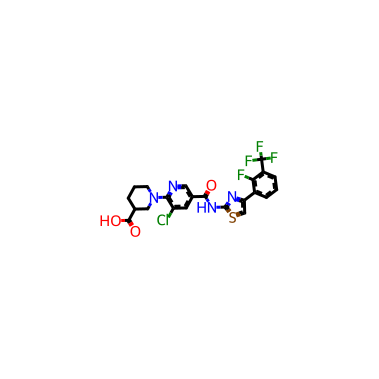 O=C(Nc1nc(-c2cccc(C(F)(F)F)c2F)cs1)c1cnc(N2CCCC(C(=O)O)C2)c(Cl)c1